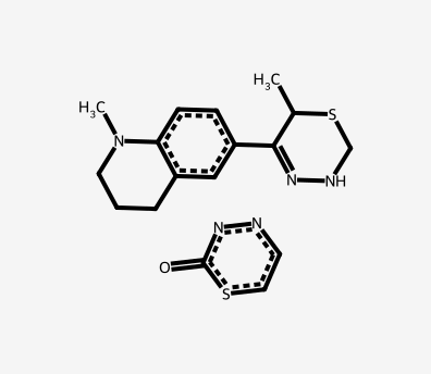 CC1SCNN=C1c1ccc2c(c1)CCCN2C.O=c1nnccs1